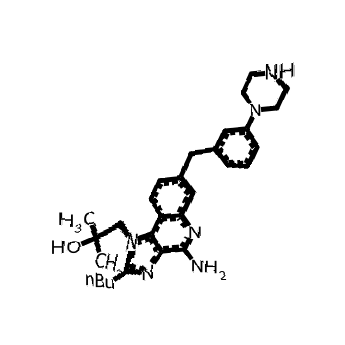 CCCCc1nc2c(N)nc3cc(Cc4cccc(N5CCNCC5)c4)ccc3c2n1CC(C)(C)O